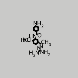 C/C(=N/N=C(N)N)c1cccc(NC(=O)c2ccc(N)cc2)c1.Cl.Cl